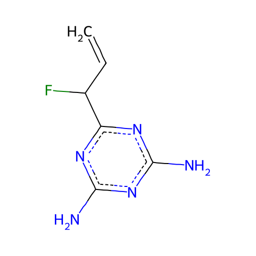 C=CC(F)c1nc(N)nc(N)n1